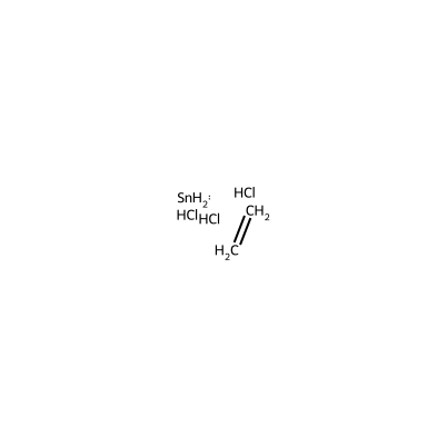 C=C.Cl.Cl.Cl.[SnH2]